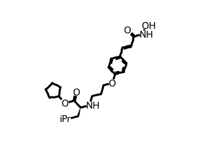 CC(C)C[C@H](NCCCOc1ccc(C=CC(=O)NO)cc1)C(=O)OC1CCCC1